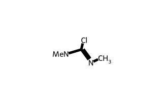 CN=C(Cl)NC